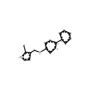 Cc1occc1COc1ccc(-c2ccccc2)cc1